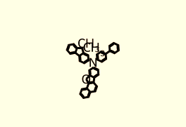 CC1(C)c2ccccc2-c2ccc(N(c3ccc(-c4ccccc4)cc3)c3ccc4c(c3)oc3c5ccccc5ccc43)cc21